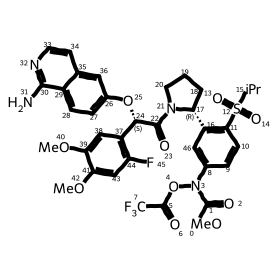 COC(=O)N(OC(=O)C(F)(F)F)c1ccc(S(=O)(=O)C(C)C)c([C@H]2CCCN2C(=O)[C@@H](Oc2ccc3c(N)nccc3c2)c2cc(OC)c(OC)cc2F)c1